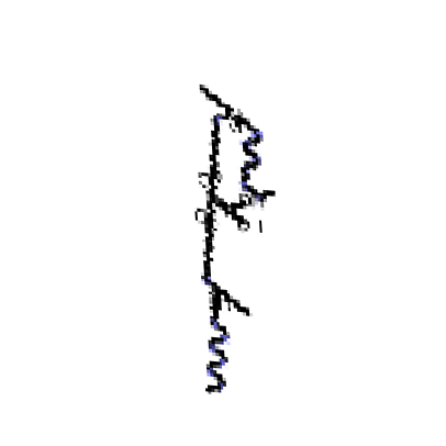 CC/C=C\C/C=C\C/C=C\C/C=C\C/C=C\C/C=C\CCC(=O)OC(C/C=C\CCCCCCCCOC(=O)CCN(CCC(=O)OCCCCCCCC/C=C\CC(CCCCCC)OC(=O)CC/C=C\C/C=C\C/C=C\C/C=C\C/C=C\C/C=C\CC)CCN(CCO)CCO)CCCCCC